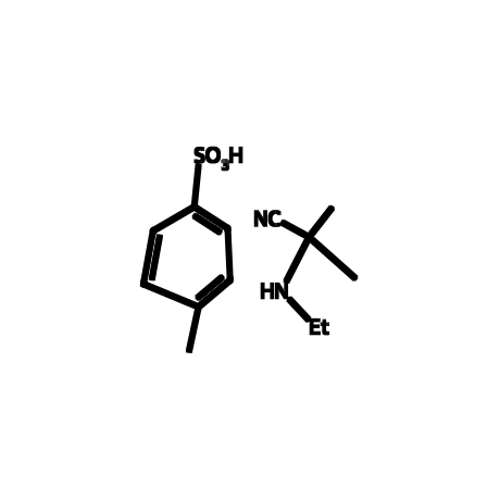 CCNC(C)(C)C#N.Cc1ccc(S(=O)(=O)O)cc1